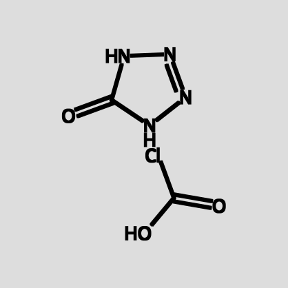 O=C(O)Cl.O=c1[nH]nn[nH]1